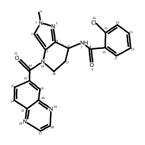 Cn1cc2c(n1)C(NC(=O)c1ccccc1Cl)CCN2C(=O)c1ccc2nccnc2c1